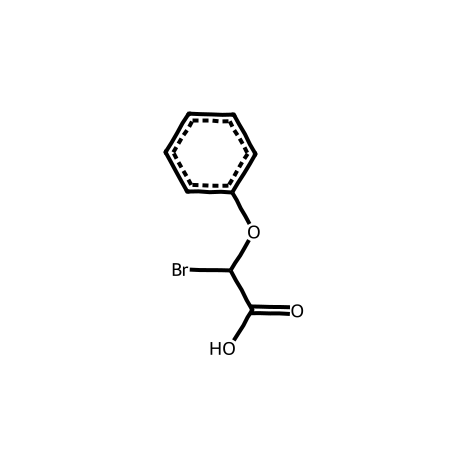 O=C(O)C(Br)Oc1ccccc1